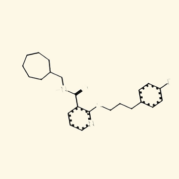 O=C(NCC1CCCCCC1)c1cccnc1SCCCc1ccc(F)cc1